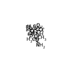 CC(NC(=O)C1c2ccccc2C(=O)N(C)C1c1cc(C(F)(F)F)cc(C(F)(F)F)c1)OC(C)OCCN